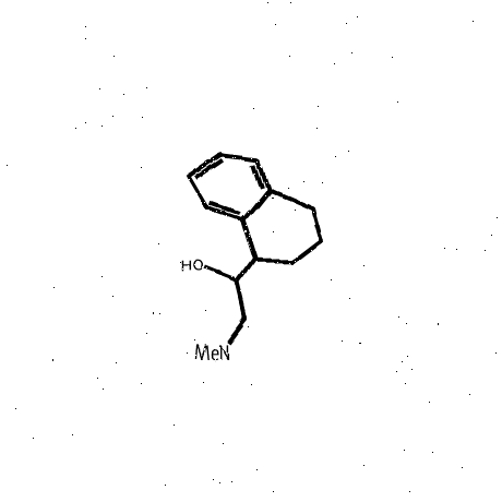 CNCC(O)C1CCCc2ccccc21